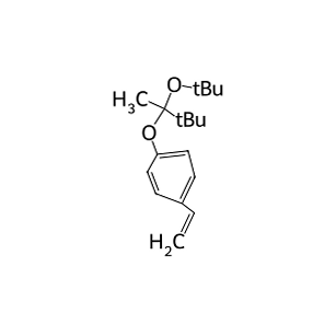 C=Cc1ccc(OC(C)(OC(C)(C)C)C(C)(C)C)cc1